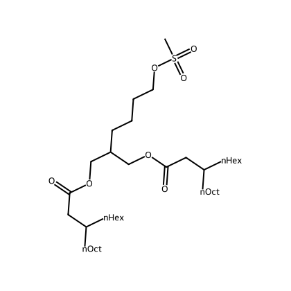 CCCCCCCCC(CCCCCC)CC(=O)OCC(CCCCOS(C)(=O)=O)COC(=O)CC(CCCCCC)CCCCCCCC